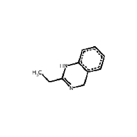 CCC1=NCc2ccccc2N1